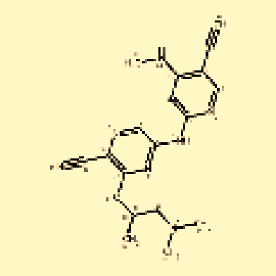 C#Cc1cnc(Nc2cnc(C#N)c(O[C@H](C)CN(C)C)n2)cc1NC